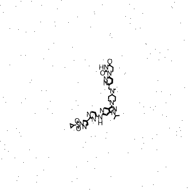 CC(C)n1nc(N2CCC(N(C)Cc3ccc(N4CCC(=O)NC4=O)nn3)CC2)c2cnc(Nc3ccnc(-c4cnn(S(=O)(=O)C5CC5)c4)n3)cc21